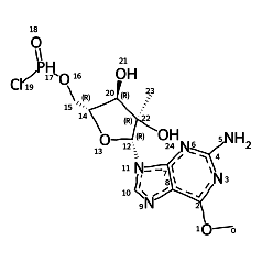 COc1nc(N)nc2c1ncn2[C@@H]1O[C@H](CO[PH](=O)Cl)[C@@H](O)[C@@]1(C)O